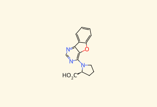 O=C(O)[C@@H]1CCCN1c1ncnc2c1oc1ccccc12